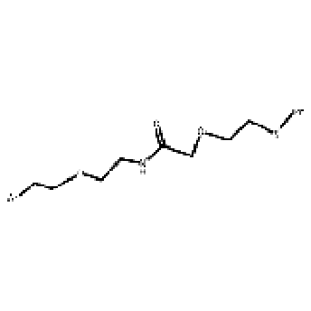 CC(=O)CCOCCNC(=O)COCCSC(C)C